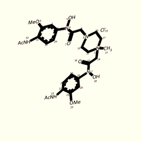 COc1cc(N(O)C(=O)CN2CC[N+](C)(CC(=O)N(O)c3ccc(NC(C)=O)c(OC)c3)CC2)ccc1NC(C)=O.[Cl-]